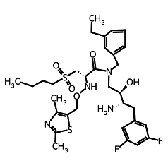 CCCCS(=O)(=O)C[C@@H](NOCc1sc(C)nc1C)C(=O)N(Cc1cccc(CC)c1)C[C@@H](O)[C@@H](N)Cc1cc(F)cc(F)c1